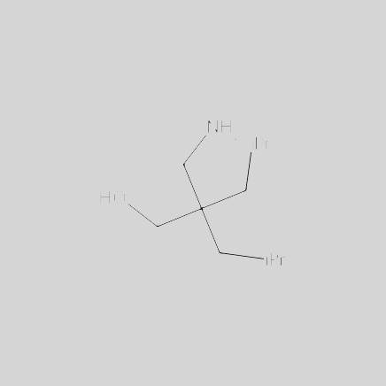 CC(C)CC(CN)(CO)CC(C)C